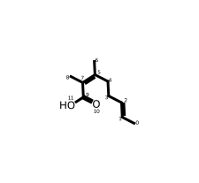 CC=CCCC(C)=C(C)C(=O)O